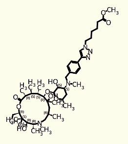 CC[C@H]1OC(=O)[C@H](C)[C@@H](C)[C@H](C)[C@@H](O[C@@H]2O[C@H](C)C[C@H](N(C)Cc3ccc(-c4cn(CCCCCC(=O)OC)nn4)cc3)[C@@H]2O)[C@](C)(O)C[C@@H](C)CN(C)[C@H](C)[C@@H](O)[C@]1(C)O